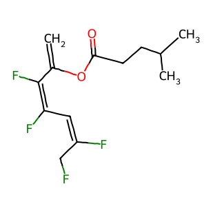 C=C(OC(=O)CCC(C)C)/C(F)=C(F)\C=C(\F)CF